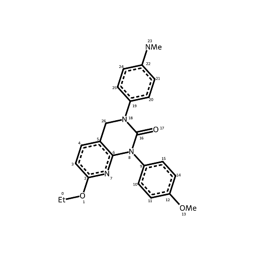 CCOc1ccc2c(n1)N(c1ccc(OC)cc1)C(=O)N(c1ccc(NC)cc1)C2